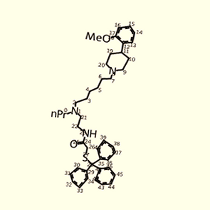 CCCN(CCCCCCN1CCC(c2ccccc2OC)CC1)CCNC(=O)CSC(c1ccccc1)(c1ccccc1)c1ccccc1